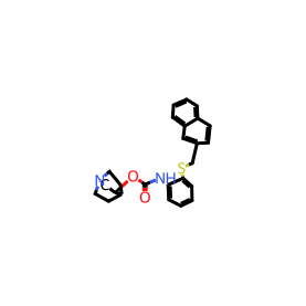 O=C(Nc1ccccc1SCc1ccc2ccccc2c1)OC1CN2CCC1CC2